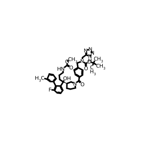 COC(=O)NCCCC(O)(c1cccc(F)c1-c1cccc(C)c1)[C@@H]1CCCN(C(=O)c2ccc(CN(Cc3nnn[nH]3)C(=O)OC(C)(C)C)cc2)C1